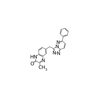 Cc1nc2cc(Cc3nnc4ccc(-c5ccccc5)nn34)ccc2[nH]c1=O